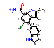 Cc1c(C(F)(F)F)[nH]c2c(C(N)=O)cc(F)c(-c3ccc4c(c3)NCC4)c12